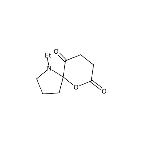 CCN1CC[CH]C12OC(=O)CCC2=O